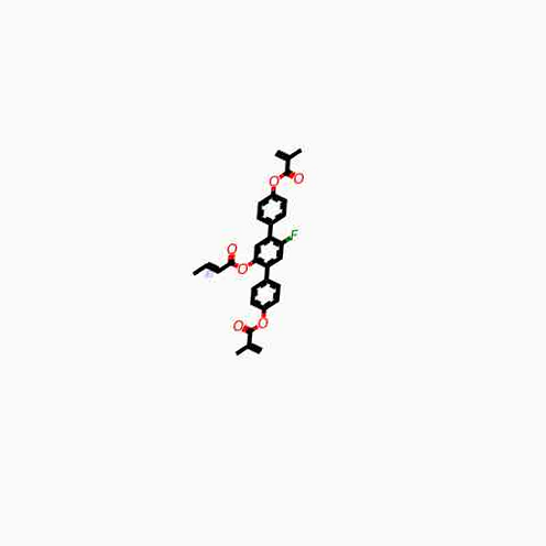 C=C(C)C(=O)Oc1ccc(-c2cc(OC(=O)/C=C/C)c(-c3ccc(OC(=O)C(=C)C)cc3)cc2F)cc1